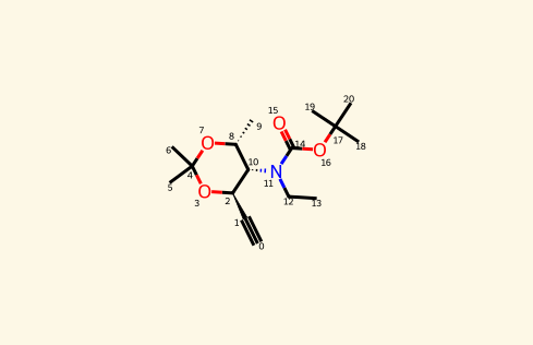 C#C[C@H]1OC(C)(C)O[C@H](C)[C@@H]1N(CC)C(=O)OC(C)(C)C